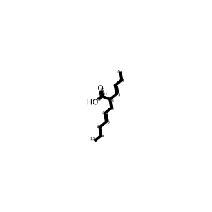 CCC=CC(CC=CCCC)C(=O)O